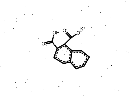 O=C(O)c1ccc2ccccc2c1C(=O)[O-].[K+]